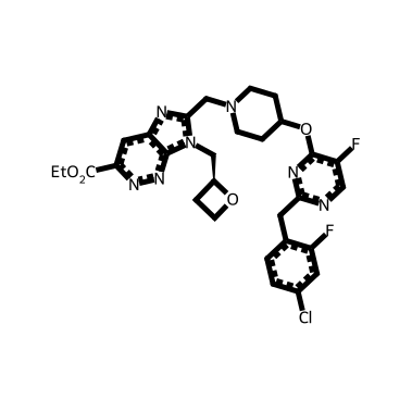 CCOC(=O)c1cc2nc(CN3CCC(Oc4nc(Cc5ccc(Cl)cc5F)ncc4F)CC3)n(C[C@@H]3CCO3)c2nn1